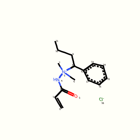 C=CC(=O)N[N+](C)(C)C(CCC)c1ccccc1.[Cl-]